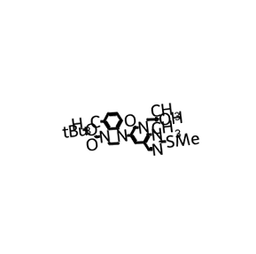 CSc1ncc2cc(N3CCN(C(=O)OC(C)(C)C)c4c(C)cccc43)c(=O)n(CC(C)(C)O)c2n1